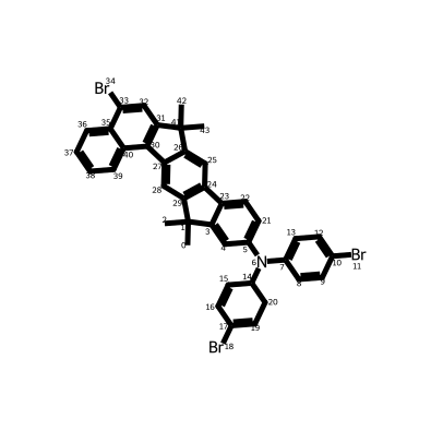 CC1(C)c2cc(N(c3ccc(Br)cc3)C3C=CC(Br)=CC3)ccc2-c2cc3c(cc21)-c1c(cc(Br)c2ccccc12)C3(C)C